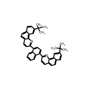 CC(C)(C)c1ccc2ccc3ccc(-c4ccc(-c5ccc6ccc7ccc(C(C)(C)C)cc7c6n5)c5ccccc45)nc3c2c1